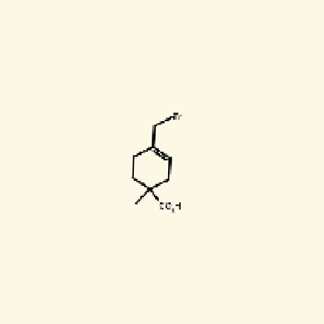 CC(C)CC1=CCC(C)(C(=O)O)CC1